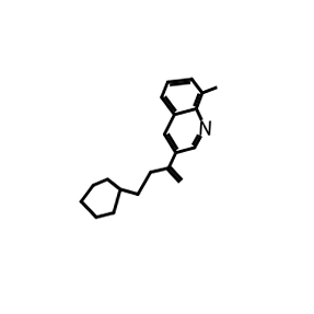 C=C(CCC1CCCCC1)c1cnc2c(C)cccc2c1